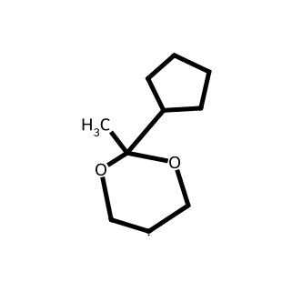 CC1(C2CCCC2)OC[CH]CO1